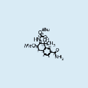 CO[C@@H]1Cc2ccc(C(N)=O)cc2C(C)(C)[C@H]1NC(=O)OC(C)(C)C